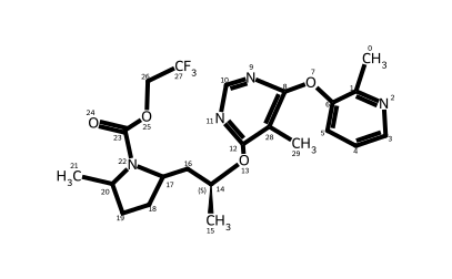 Cc1ncccc1Oc1ncnc(O[C@@H](C)CC2CCC(C)N2C(=O)OCC(F)(F)F)c1C